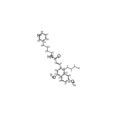 CCCCc1c(/C=C/C(=O)NCCCCc2cccnc2)cc(OC)c2ccc(OC)cc12